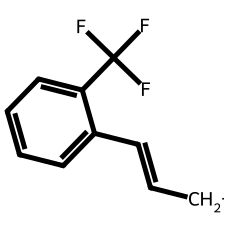 [CH2]C=Cc1ccccc1C(F)(F)F